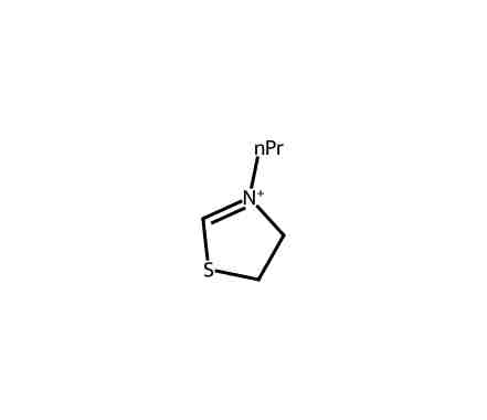 CCC[N+]1=CSCC1